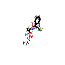 CCOC(=O)NC(=O)c1ccsc1NC(=O)c1cc(C(F)(F)F)nc2ccccc12